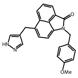 COc1ccc(CN2C(=O)c3cccc4c(Cc5cn[nH]c5)ccc2c34)cc1